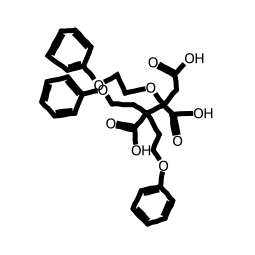 O=C(O)CC(OCCOc1ccccc1)(C(=O)O)C(CCOc1ccccc1)(CCOc1ccccc1)C(=O)O